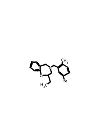 CCC1CN(Cc2cc(Br)ccc2C)Cc2ccccc2O1